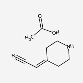 CC(=O)O.N#CC=C1CCNCC1